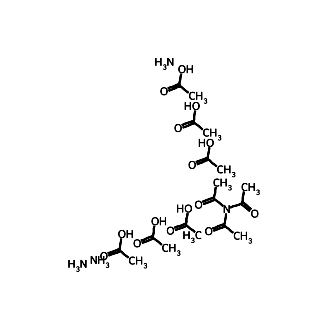 CC(=O)N(C(C)=O)C(C)=O.CC(=O)O.CC(=O)O.CC(=O)O.CC(=O)O.CC(=O)O.CC(=O)O.N.N.N